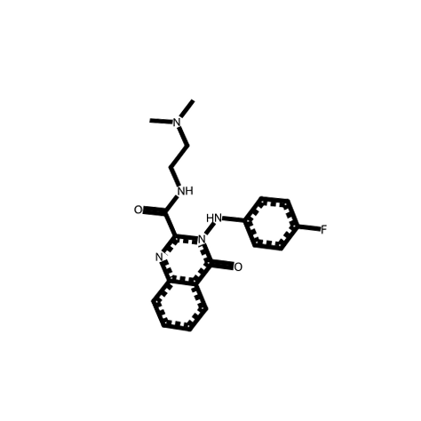 CN(C)CCNC(=O)c1nc2ccccc2c(=O)n1Nc1ccc(F)cc1